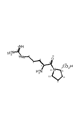 N=C(N)NCCCC(N)C(=O)N1CCC[C@H]1C(=O)O